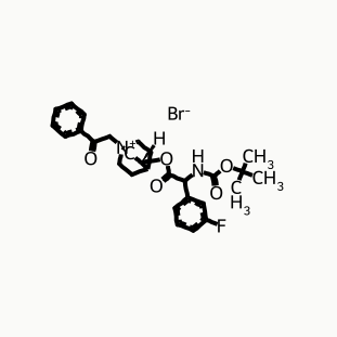 CC(C)(C)OC(=O)NC(C(=O)O[C@H]1C[N+]2(CC(=O)c3ccccc3)CCC1CC2)c1cccc(F)c1.[Br-]